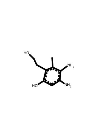 Cc1c(N)c(N)cc(O)c1CCO